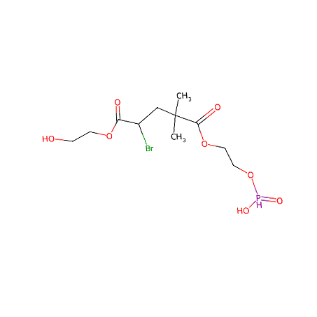 CC(C)(CC(Br)C(=O)OCCO)C(=O)OCCO[PH](=O)O